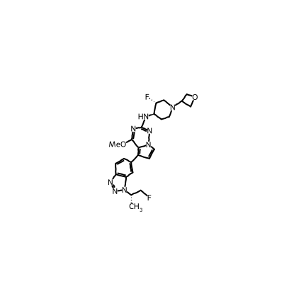 COc1nc(N[C@@H]2CCN(C3COC3)C[C@H]2F)nn2ccc(-c3ccc4nnn([C@@H](C)CF)c4c3)c12